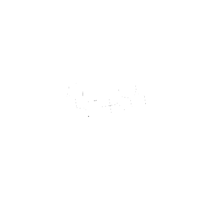 C[C@H]1C2C(CN1C(C)(C)CC[C@@H]1C3OCCN(C)C3CN1C(C)(C)C)OCCN2C